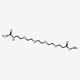 CC(C)(C)OC(=O)CCOCCOCCOCCOCCNC(N)=O